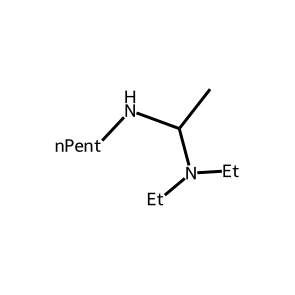 CCCCCNC(C)N(CC)CC